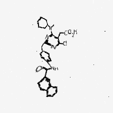 CN(c1nc(Cc2ccc(NC(=O)c3ccc4ccccc4c3)cc2)nc(Cl)c1CC(=O)O)C1CCCCC1